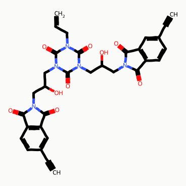 C#Cc1ccc2c(c1)C(=O)N(CC(O)Cn1c(=O)n(CC=C)c(=O)n(CC(O)CN3C(=O)c4ccc(C#C)cc4C3=O)c1=O)C2=O